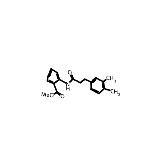 COC(=O)c1ccccc1NC(=O)CCc1ccc(C)c(C)c1